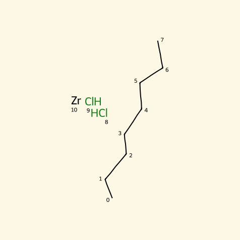 CCCCCCCC.Cl.Cl.[Zr]